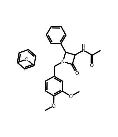 COc1ccc(CN2C(=O)C(NC(C)=O)C2c2ccccc2)cc1OC.c1cc2cc(c1)O2